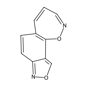 C1=Cc2ccc3nocc3c2ON=C1